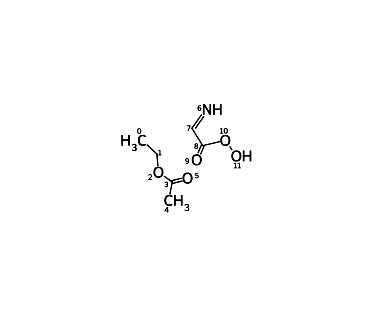 CCOC(C)=O.N=CC(=O)OO